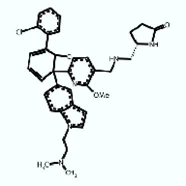 COc1nc(C2(c3ccc4c(ccn4CCN(C)C)c3)C=CC=C(c3ccccc3Cl)C2Cl)ccc1CNC[C@@H]1CCC(=O)N1